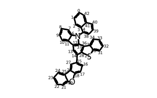 c1ccc2c(-n3c4ccccc4c4cc(-c5ccc6oc7ccccc7c6c5)c5sc6ccccc6c5c43)cccc2c1